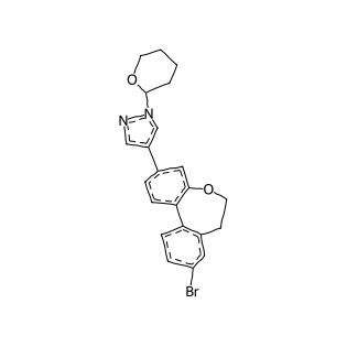 Brc1ccc2c(c1)CCOc1cc(-c3cnn(C4CCCCO4)c3)ccc1-2